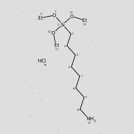 CCO[Si](CCCCCCCCN)(OCC)OCC.Cl